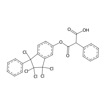 O=C(O)C(C(=O)Oc1ccc2c(c1)C(Cl)(Cl)C(Cl)(Cl)C2(Cl)c1ccccc1)c1ccccc1